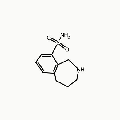 NS(=O)(=O)c1cccc2c1CNCCC2